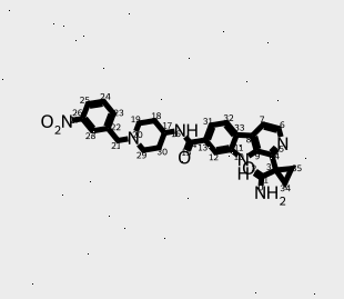 NC(=O)C1(c2nccc3c2[nH]c2cc(C(=O)NC4CCN(Cc5cccc([N+](=O)[O-])c5)CC4)ccc23)CC1